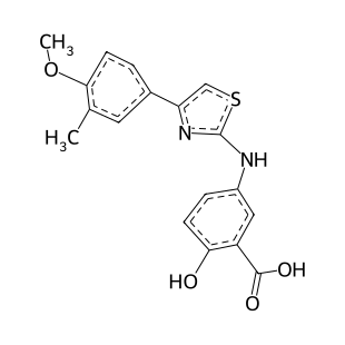 COc1ccc(-c2csc(Nc3ccc(O)c(C(=O)O)c3)n2)cc1C